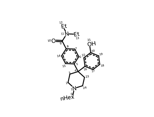 CCCCCCN1CCC(c2ccc(C(=O)N(CC)CC)cc2)(c2cccc(O)c2)CC1